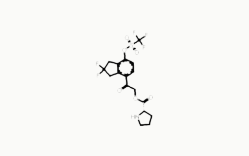 O=C(COC(=O)[C@@H]1CCCN1)c1ccc(OS(=O)(=O)C(F)(F)F)c2c1CC(F)(F)C2